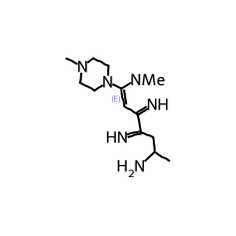 CN/C(=C\C(=N)C(=N)CC(C)N)N1CCN(C)CC1